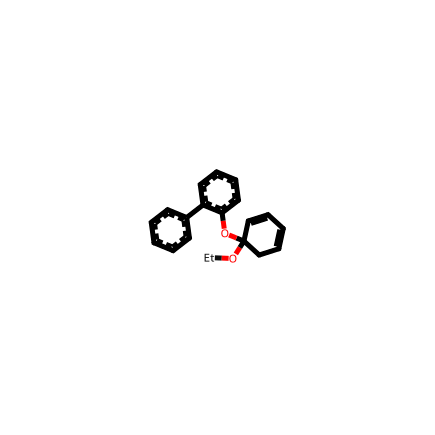 CCOC1(Oc2ccccc2-c2ccccc2)C=CC=CC1